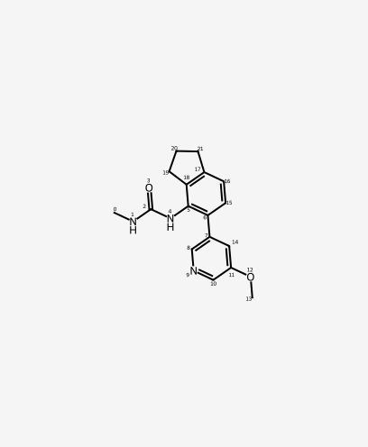 CNC(=O)Nc1c(-c2cncc(OC)c2)ccc2c1CCC2